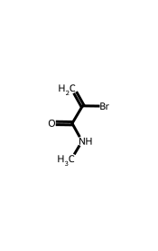 C=C(Br)C(=O)NC